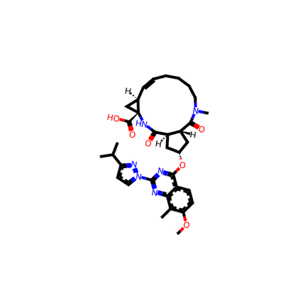 COc1ccc2c(O[C@@H]3C[C@H]4C(=O)N[C@]5(C(=O)O)C[C@H]5/C=C\CCCCN(C)C(=O)[C@@H]4C3)nc(-n3ccc(C(C)C)n3)nc2c1C